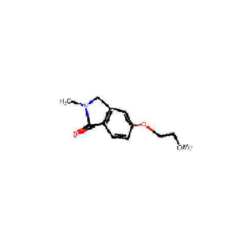 COCCOc1ccc2c(c1)CN(C)C2=O